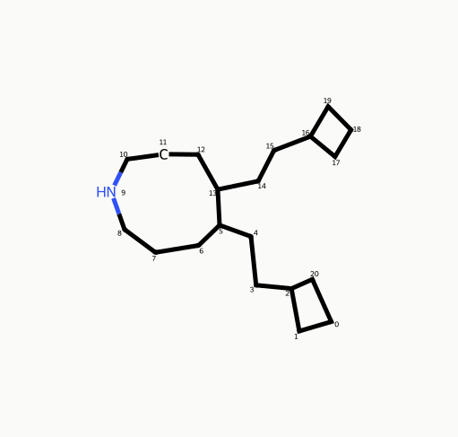 C1CC(CCC2CCCNCCCC2CCC2CCC2)C1